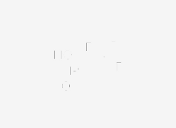 O=[PH](O)CC(F)(F)F